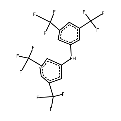 FC(F)(F)c1cc(Pc2cc(C(F)(F)F)cc(C(F)(F)F)c2)cc(C(F)(F)F)c1